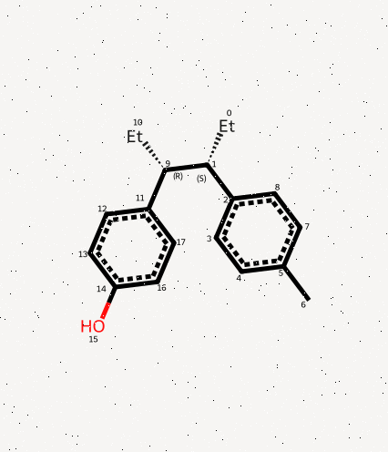 CC[C@H](c1ccc(C)cc1)[C@@H](CC)c1ccc(O)cc1